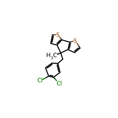 CC1(Cc2ccc(Cl)c(Cl)c2)c2ccsc2-c2sccc21